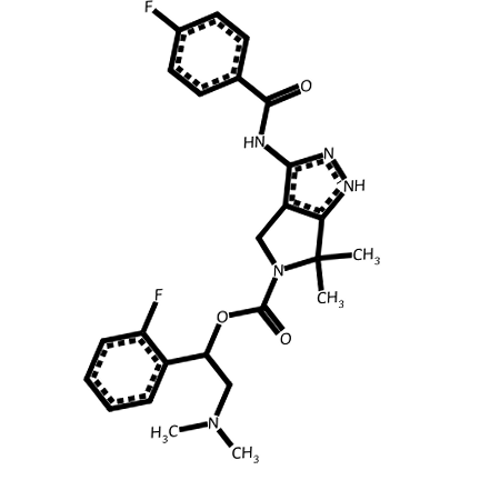 CN(C)CC(OC(=O)N1Cc2c(NC(=O)c3ccc(F)cc3)n[nH]c2C1(C)C)c1ccccc1F